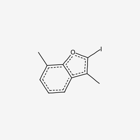 Cc1c(I)oc2c(C)cccc12